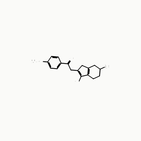 CCC1CCC2=C(CC(CC(=O)c3ccc(OC)cc3)=C2C(C)=O)C1